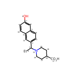 CCC(c1ccc2cc(O)ccc2c1)N1CCC(C(=O)O)CC1